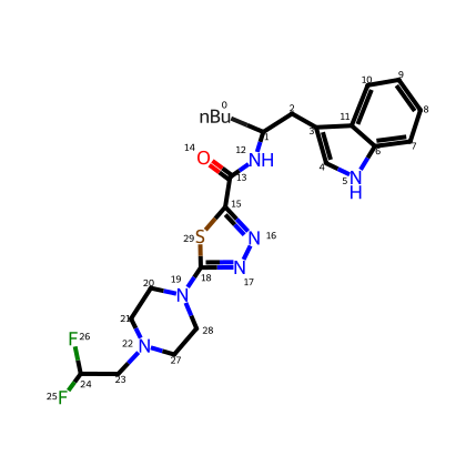 CCCCC(Cc1c[nH]c2ccccc12)NC(=O)c1nnc(N2CCN(CC(F)F)CC2)s1